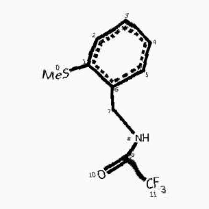 CSc1ccccc1CNC(=O)C(F)(F)F